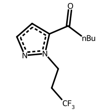 CCCCC(=O)c1ccnn1CCC(F)(F)F